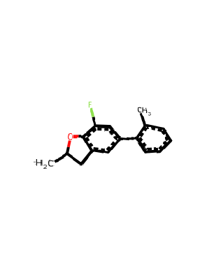 [CH2]C1Cc2cc(-c3ccccc3C)cc(F)c2O1